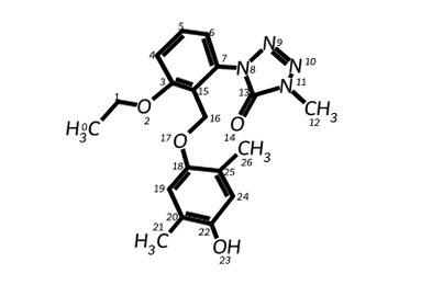 CCOc1cccc(-n2nnn(C)c2=O)c1COc1cc(C)c(O)cc1C